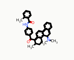 Cc1ccccc1C(=O)Nc1ccc(C(=O)C2=c3ccc4c(c3CCC2C)C(N(C)C)C=c2ccccc2=4)cc1